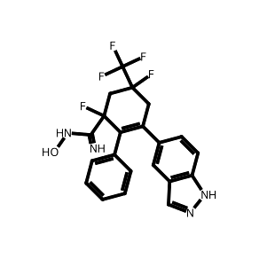 N=C(NO)C1(F)CC(F)(C(F)(F)F)CC(c2ccc3[nH]ncc3c2)=C1c1ccccc1